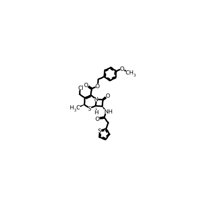 COc1ccc(COC(=O)C2=C(CCl)[C@H](C)S[C@@H]3[C@H](NC(=O)Cc4cccs4)C(=O)N23)cc1